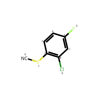 N#CSc1ccc(F)cc1Cl